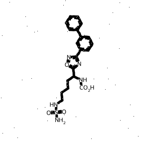 NS(=O)(=O)NCCCCC(NC(=O)O)c1nc(-c2cccc(-c3ccccc3)c2)no1